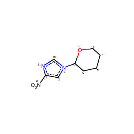 O=[N+]([O-])c1cn(C2CCCCO2)cn1